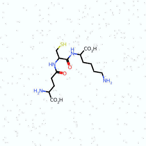 NCCCCC(NC(=O)C(CS)NC(=O)CCC(N)C(=O)O)C(=O)O